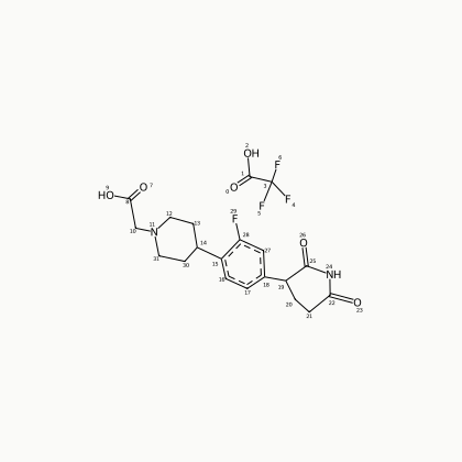 O=C(O)C(F)(F)F.O=C(O)CN1CCC(c2ccc(C3CCC(=O)NC3=O)cc2F)CC1